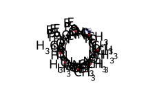 CC[C@H](C)[C@@H]1NC(=O)[C@H](CC)N(C)C(=O)C[C@@H](C(=O)N(C)C)N(C)C(=O)[C@H](C2CCCC2)N(C)C(=O)C2(CCC2)NC(=O)[C@@H]2C[C@H](OC)CN2C(=O)[C@H](CCc2cc(F)c(C(F)(F)F)c(F)c2)NC(=O)CN(C)C(=O)[C@H](Cc2ccc(C(F)(F)F)cc2)N2CC/C=C\C[C@@H](C2=O)N(C)C(=O)CN(C)C1=O